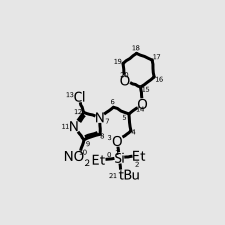 CC[Si](CC)(OCC(Cn1cc([N+](=O)[O-])nc1Cl)OC1CCCCO1)C(C)(C)C